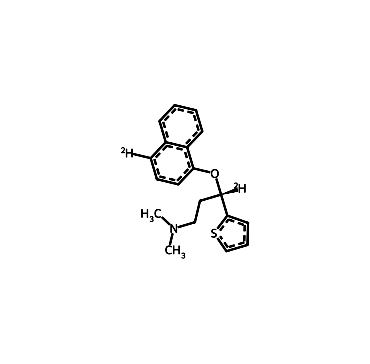 [2H]c1ccc(O[C@@]([2H])(CCN(C)C)c2cccs2)c2ccccc12